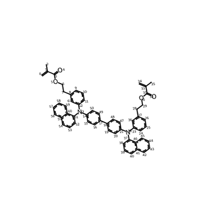 C=C(C)C(=O)OCCc1cccc(N(c2ccc(-c3ccc(N(c4cccc(CCOC(=O)C(=C)C)c4)c4cccc5ccccc45)cc3)cc2)c2cccc3ccccc23)c1